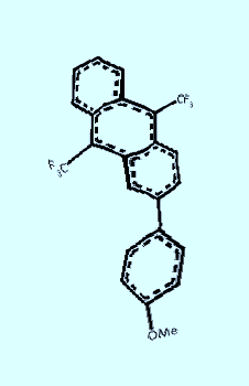 COc1ccc(-c2ccc3c(C(F)(F)F)c4ccccc4c(C(F)(F)F)c3c2)cc1